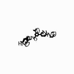 Cc1cc(C)c(CNC(=O)c2cc(-c3ccc(N4CCOCC4)nc3)c3c(c2)C(C)CO3)c(=O)[nH]1